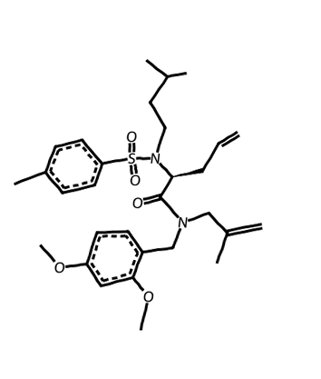 C=CC[C@@H](C(=O)N(CC(=C)C)Cc1ccc(OC)cc1OC)N(CCC(C)C)S(=O)(=O)c1ccc(C)cc1